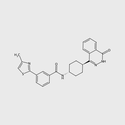 Cc1csc(-c2cccc(C(=O)N[C@H]3CC[C@H](c4n[nH]c(=O)c5ccccc54)CC3)c2)n1